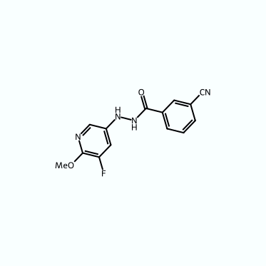 COc1ncc(NNC(=O)c2cccc(C#N)c2)cc1F